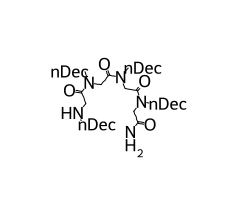 CCCCCCCCCCNCC(=O)N(CCCCCCCCCC)CC(=O)N(CCCCCCCCCC)CC(=O)N(CCCCCCCCCC)CC(N)=O